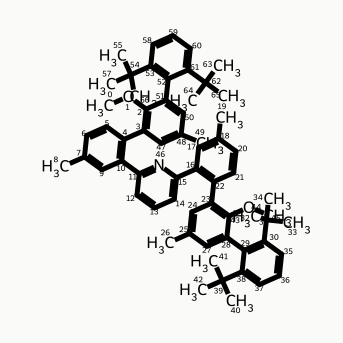 COc1c(-c2ccc(C)cc2-c2cccc(-c3cc(C)ccc3-c3cc(C)cc(-c4c(C(C)(C)C)cccc4C(C)(C)C)c3OC)n2)cc(C)cc1-c1c(C(C)(C)C)cccc1C(C)(C)C